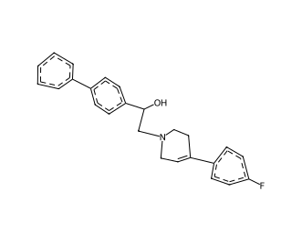 OC(CN1CC=C(c2ccc(F)cc2)CC1)c1ccc(-c2ccccc2)cc1